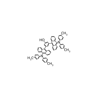 Cc1ccc(N(c2ccc(C)cc2)c2c3ccccc3c(-c3cc(O)cc(-c4c5ccccc5c(N(c5ccc(C)cc5)c5ccc(C)cc5)c5ccccc45)c3)c3ccccc23)cc1